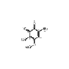 CCCCOC1=C(C(C)(C)C)C(=O)C(=O)C(C(C)(C)C)=C1